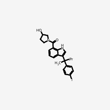 CC(C)C(C)(c1ccc(I)cc1)c1c[nH]c2c(C(=O)N3CCC(O)C3)cccc12